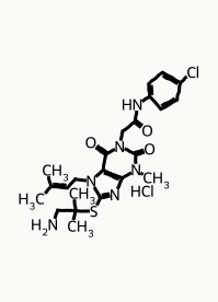 CC(C)=CCn1c(SC(C)(C)CN)nc2c1c(=O)n(CC(=O)Nc1ccc(Cl)cc1)c(=O)n2C.Cl